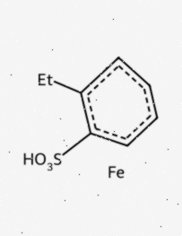 CCc1ccccc1S(=O)(=O)O.[Fe]